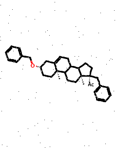 CC(=O)[C@@]1(Cc2ccccc2)CCC2C3CC=C4C[C@@H](OCc5ccccc5)CC[C@]4(C)C3CC[C@@]21C